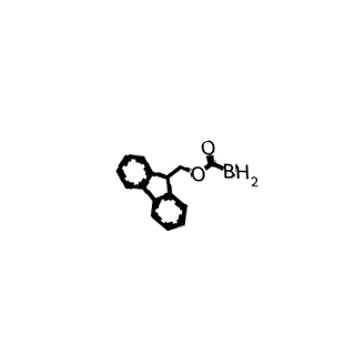 BC(=O)OCC1c2ccccc2-c2ccccc21